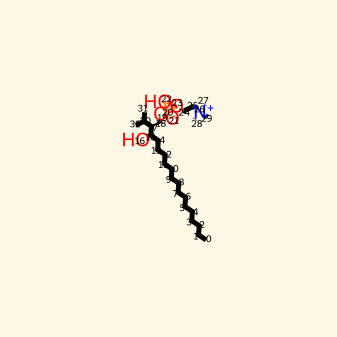 CCCCCCCCCCCCCCC[C@@H](O)[C@H](COP(=O)(O)OCC[N+](C)(C)C)C(C)C